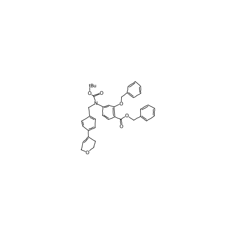 CC(C)(C)OC(=O)N(Cc1ccc(C2=CCOCC2)cc1)c1ccc(C(=O)OCc2ccccc2)c(OCc2ccccc2)c1